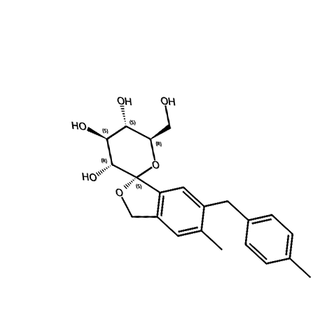 Cc1ccc(Cc2cc3c(cc2C)CO[C@]32O[C@H](CO)[C@@H](O)[C@H](O)[C@H]2O)cc1